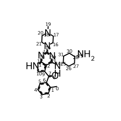 Cc1ccccc1C(=O)c1c[nH]c2nc(N3CCN(C)CC3)nc(N[C@H]3CC[C@@H](N)CC3)c12